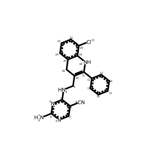 N#Cc1cnc(N)nc1NCC1=C(c2ccccc2)Nc2c(Cl)cccc2C1